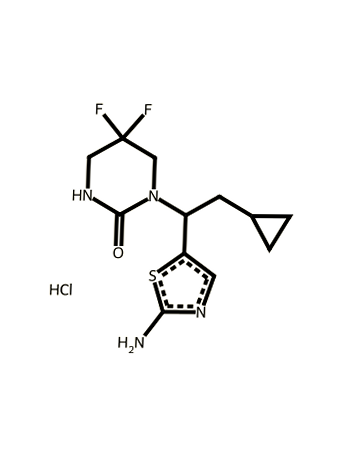 Cl.Nc1ncc(C(CC2CC2)N2CC(F)(F)CNC2=O)s1